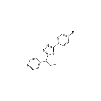 CCC(c1ccncc1)c1nnc(-c2ccc(F)cc2)s1